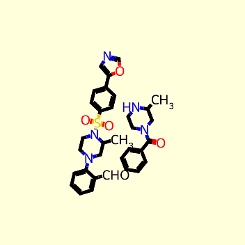 CC1CN(C(=O)c2ccccc2)CCN1.CC1CN(c2ccccc2C=O)CCN1S(=O)(=O)c1ccc(-c2cnco2)cc1